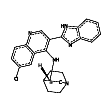 Clc1ccc2ncc(-c3nc4ccccc4[nH]3)c(N[C@@H]3CN4CCC3CC4)c2c1